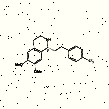 COc1cc2c(cc1OC)[C@@H](CCc1ccc(C(F)(F)F)cc1)NCC2